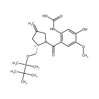 C=C1C[C@@H](CO[Si](C)(C)C(C)(C)C)N(C(=O)c2cc(OC)c(O)cc2NC(=O)O)C1